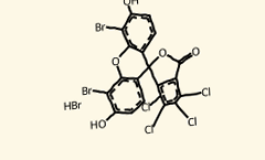 Br.O=C1OC2(c3ccc(O)c(Br)c3Oc3c2ccc(O)c3Br)c2c(Cl)c(Cl)c(Cl)c(Cl)c21